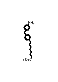 CCCCCCCCCCCCCCCCCc1ccc(Cc2ccc(N)cc2)cc1